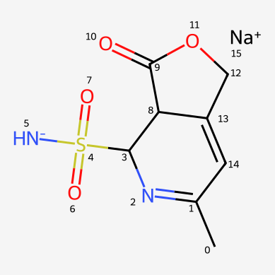 CC1=NC(S([NH-])(=O)=O)C2C(=O)OCC2=C1.[Na+]